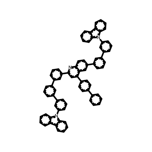 c1ccc(-c2ccc(-c3cc(-c4cccc(-c5cccc(-c6cccc(-n7c8ccccc8c8ccccc87)c6)c5)c4)nc4ccc(-c5cccc(-c6cccc(-n7c8ccccc8c8ccccc87)c6)c5)cc34)cc2)cc1